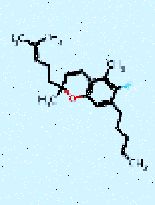 CCCCCc1cc2c(c(C)c1F)C=CC(C)(CCC=C(C)C)O2